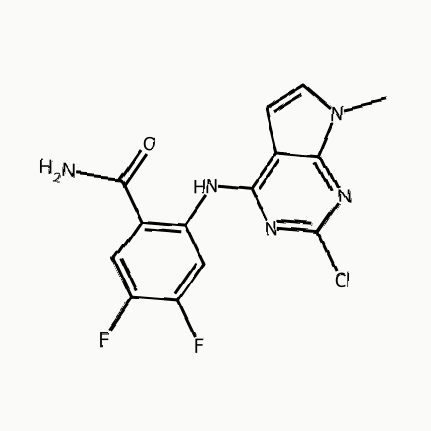 Cn1ccc2c(Nc3cc(F)c(F)cc3C(N)=O)nc(Cl)nc21